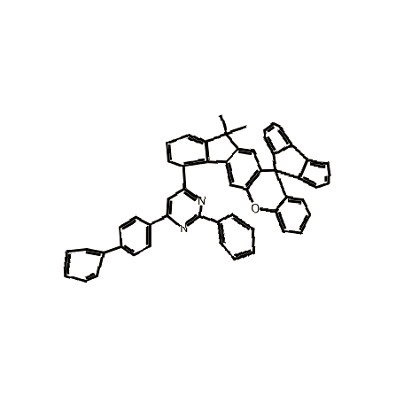 CC1(C)c2cc3c(cc2-c2c(-c4cc(-c5ccc(-c6ccccc6)cc5)nc(-c5ccccc5)n4)cccc21)Oc1ccccc1C31c2ccccc2-c2ccccc21